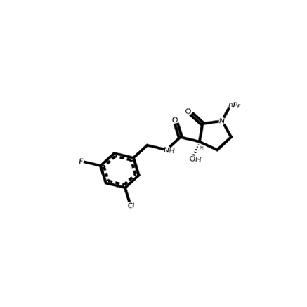 CCCN1CC[C@@](O)(C(=O)NCc2cc(F)cc(Cl)c2)C1=O